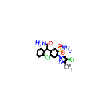 NC(=O)C(c1ccc(-n2cc(Cl)c(C(F)(F)F)n2)c(S(N)(=O)=O)c1)c1ccccc1Cl